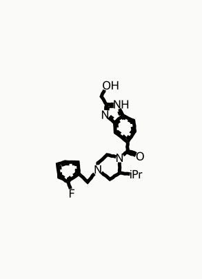 CC(C)C1CN(Cc2ccccc2F)CCN1C(=O)c1ccc2[nH]c(CO)nc2c1